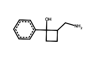 NCC1CCC1(O)c1ccccc1